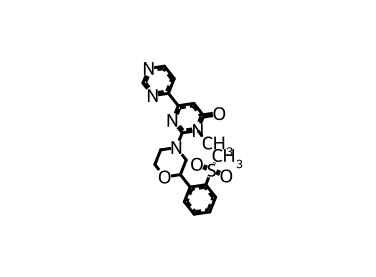 Cn1c(N2CCOC(c3ccccc3S(C)(=O)=O)C2)nc(-c2ccncn2)cc1=O